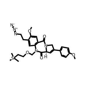 COc1ccc(C2=C[C@H]3C(=O)N(COCC[Si](C)(C)C)c4cc(CCN=[N+]=[N-])c(OC)cc4C(=O)N3C2)cc1